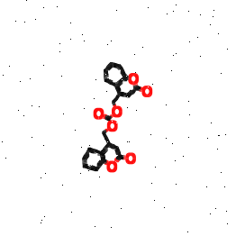 O=C(OCc1cc(=O)oc2ccccc12)OCc1cc(=O)oc2ccccc12